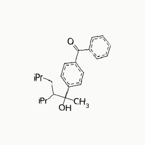 CC(C)CC(C(C)C)C(C)(O)c1ccc(C(=O)c2ccccc2)cc1